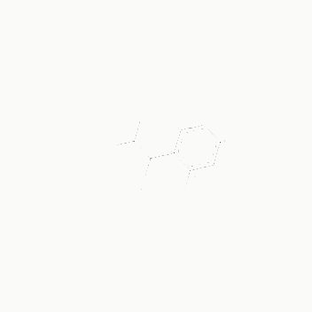 CCOC(=O)C(Br)C(Br)c1ccccc1F